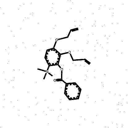 [CH2][Si](C)(C)c1ccc(OCC=C)c(OCC=C)c1OC(=O)c1ccccc1